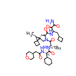 CC1C2(CCC2)[C@@]12C[C@@H](C(=O)NC(CC1CCC1)C(=O)C(N)=O)N(C(=O)[C@@H](NC(=O)[C@@H](NC(=O)CC1CCOCC1)C1CCCCC1)C(C)(C)C)C2